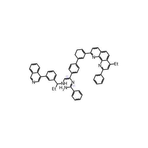 CCc1cc(-c2ccccc2)nc2c1ccc1ccc(C3=CCCC(c4ccc(C(=C/NC(CC)c5cccc(-c6cncc7ccccc67)c5)/N=C(\N)c5ccccc5)cc4)=C3)nc12